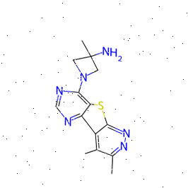 Cc1nnc2sc3c(N4CC(C)(N)C4)ncnc3c2c1C